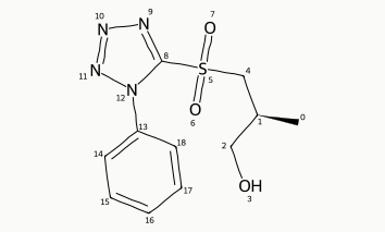 C[C@@H](CO)CS(=O)(=O)c1nnnn1-c1ccccc1